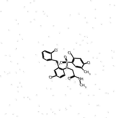 C=S(=O)(c1cc(C)c(Cl)cc1Cl)N(CC(=O)NC)c1ccc(Cl)cc1Cc1ccccc1Cl